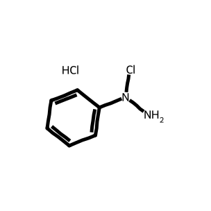 Cl.NN(Cl)c1ccccc1